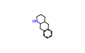 c1ccc2c(c1)CC1CCCNC1C2